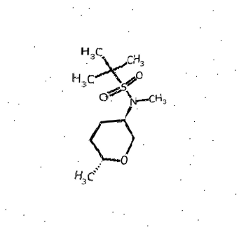 C[C@@H]1CC[C@@H](N(C)S(=O)(=O)C(C)(C)C)CO1